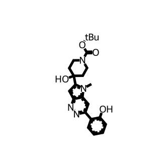 Cn1c(C2(O)CCN(C(=O)OC(C)(C)C)CC2)cc2nnc(-c3ccccc3O)cc21